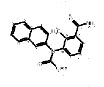 COC(=O)N(c1ccc2ccccc2c1)c1cccc(C(N)=O)c1C